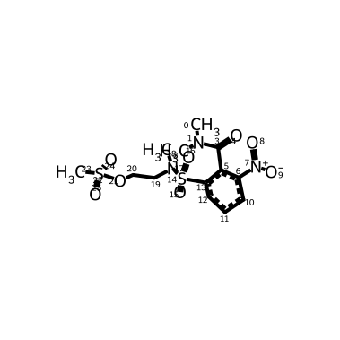 CN(C)C(=O)c1c([N+](=O)[O-])cccc1S(=O)(=O)N(C)CCOS(C)(=O)=O